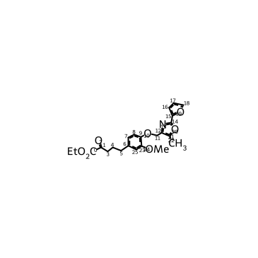 CCOC(=O)C(=O)CCCc1ccc(OCc2nc(-c3ccco3)oc2C)c(OC)c1